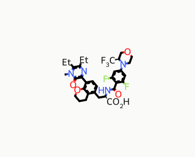 CCc1nc(-c2ccc(C[C@H](NC(=O)c3c(F)cc(N4CCOC[C@@H]4C(F)(F)F)cc3F)C(=O)O)c3c2OCCC3)c(=O)n(C)c1CC